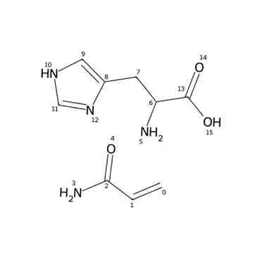 C=CC(N)=O.NC(Cc1c[nH]cn1)C(=O)O